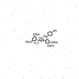 COc1cc(OC)cc(C(C)(C)CNc2cc(OC)c(OC)cc2C(=O)c2ccc(C(C)C)cc2)c1